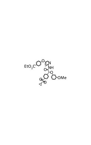 CCOC(=O)c1ccc(Oc2cnc(NC(=O)C(Oc3cccc(OC)c3)c3ccc(S(=O)(=O)C4CC4)cc3)s2)cc1